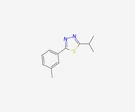 Cc1cccc(-c2nnc(C(C)C)s2)c1